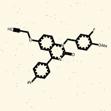 C#CCOc1ccc2c(c1)c(-c1ccc(C(C)C)cc1)nc(=O)n2Cc1ccc(OC)c(F)c1